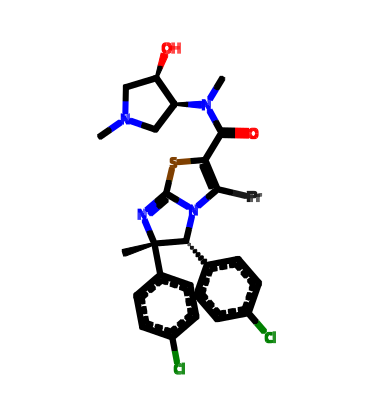 CC(C)C1=C(C(=O)N(C)[C@H]2CN(C)C[C@H]2O)SC2=N[C@@](C)(c3ccc(Cl)cc3)[C@@H](c3ccc(Cl)cc3)N21